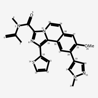 C=C(C)N(C)C(=O)c1nc(-c2cccs2)c2c3cc(-c4cnn(C)c4)c(OC)cc3ccn12